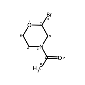 CC(=O)N1CCOC(Br)C1